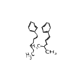 CC(C)CC=Cc1ccccc1.CCCCC=Cc1ccccc1